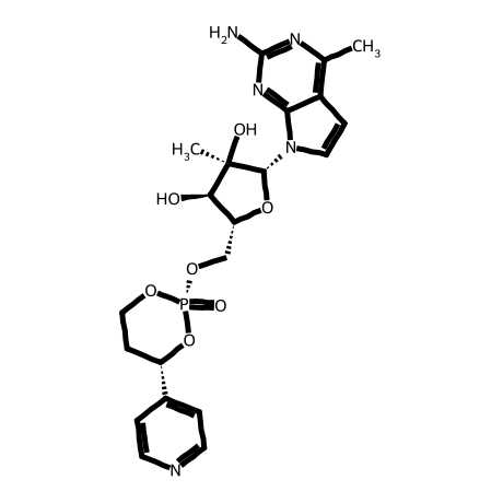 Cc1nc(N)nc2c1ccn2[C@@H]1O[C@H](CO[P@@]2(=O)OCC[C@@H](c3ccncc3)O2)[C@@H](O)[C@@]1(C)O